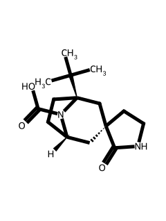 CC(C)(C)[C@@]12CC[C@@H](C[C@@]3(CCNC3=O)C1)N2C(=O)O